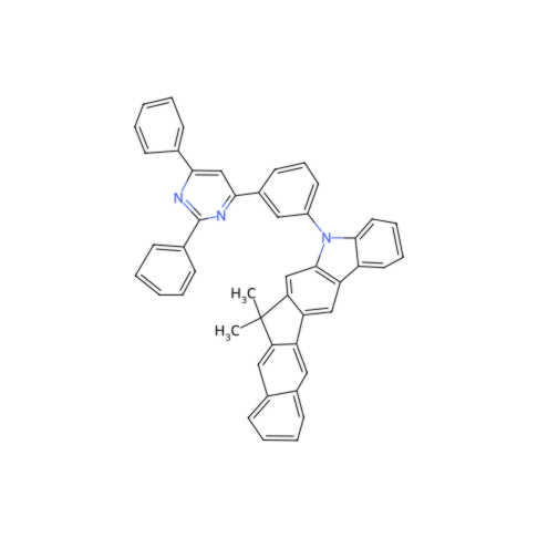 CC1(C)c2cc3ccccc3cc2-c2cc3c4ccccc4n(-c4cccc(-c5cc(-c6ccccc6)nc(-c6ccccc6)n5)c4)c3cc21